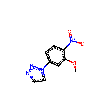 COc1cc(-n2c[c]nn2)ccc1[N+](=O)[O-]